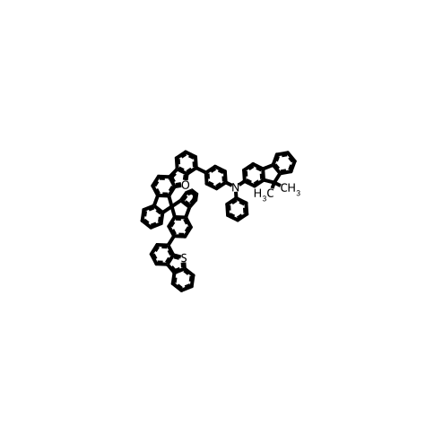 CC1(C)c2ccccc2-c2ccc(N(c3ccccc3)c3ccc(-c4cccc5c4oc4c6c(ccc45)-c4ccccc4C64c5ccccc5-c5ccc(-c6cccc7c6sc6ccccc67)cc54)cc3)cc21